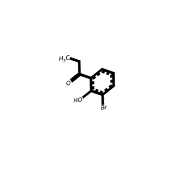 CCC(=O)c1cccc(Br)c1O